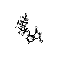 O=C1NC(=O)C2C1C1C=CC2(OS(=O)(=O)C(F)(F)C(F)(F)C(F)(F)C(F)(F)F)C1